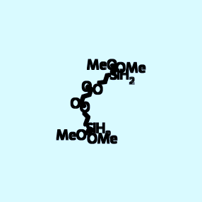 COC(OC)[SiH2]CCCOC(=O)CCC(=O)OCCC[SiH2]C(OC)OC